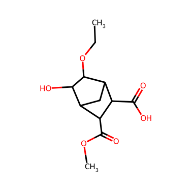 CCOC1C(O)C2CC1C(C(=O)O)C2C(=O)OC